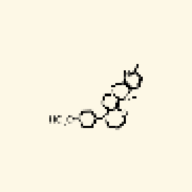 Cc1ccc(NC2=C3OCCCN(C4CCN(C(=O)O)CC4)C3=NCN2)c(C)n1